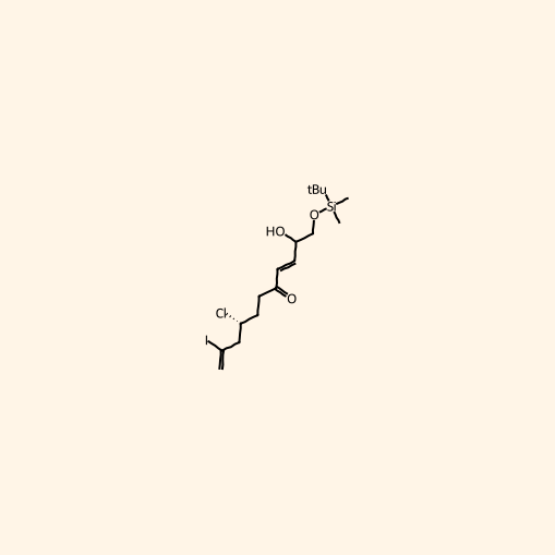 C=C(I)C[C@H](Cl)CCC(=O)/C=C/C(O)CO[Si](C)(C)C(C)(C)C